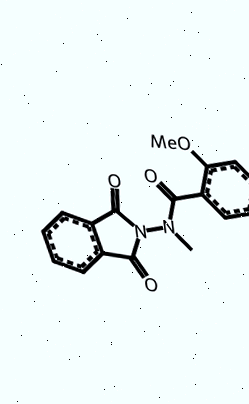 COc1ccccc1C(=O)N(C)N1C(=O)c2ccccc2C1=O